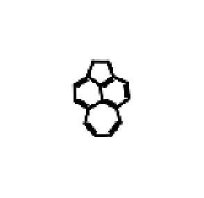 C1=Cc2ccc3c4c(ccc(c24)C=C1)CC3